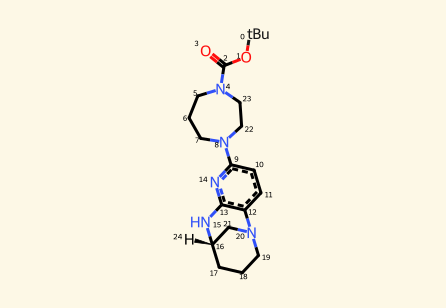 CC(C)(C)OC(=O)N1CCCN(c2ccc3c(n2)N[C@H]2CCCN3C2)CC1